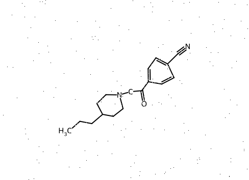 CCCC1CCN(CC(=O)c2ccc(C#N)cc2)CC1